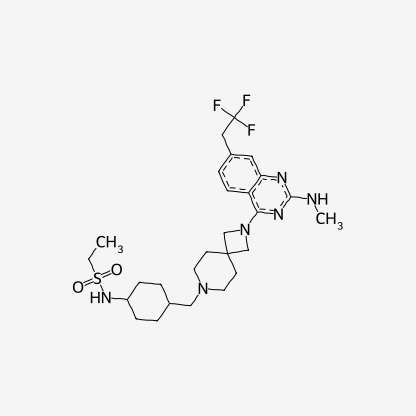 CCS(=O)(=O)NC1CCC(CN2CCC3(CC2)CN(c2nc(NC)nc4cc(CC(F)(F)F)ccc24)C3)CC1